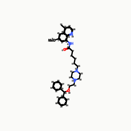 COc1cc(NC(=O)CCCCCN2CCN(CCOC(c3ccccc3)c3ccccc3)CC2)c2nccc(C)c2c1